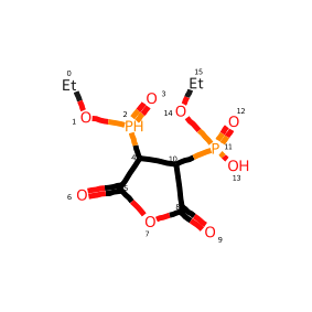 CCO[PH](=O)C1C(=O)OC(=O)C1P(=O)(O)OCC